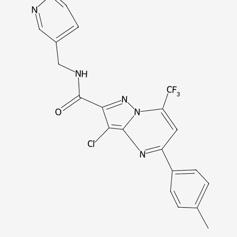 Cc1ccc(-c2cc(C(F)(F)F)n3nc(C(=O)NCc4cccnc4)c(Cl)c3n2)cc1